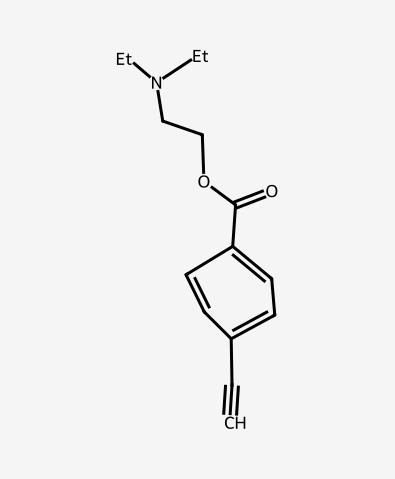 C#Cc1ccc(C(=O)OCCN(CC)CC)cc1